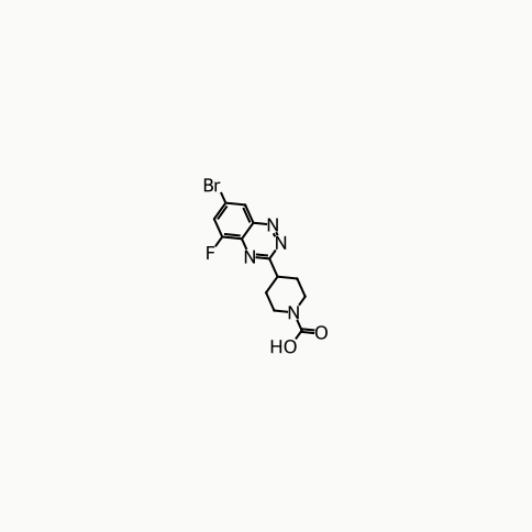 O=C(O)N1CCC(c2nnc3cc(Br)cc(F)c3n2)CC1